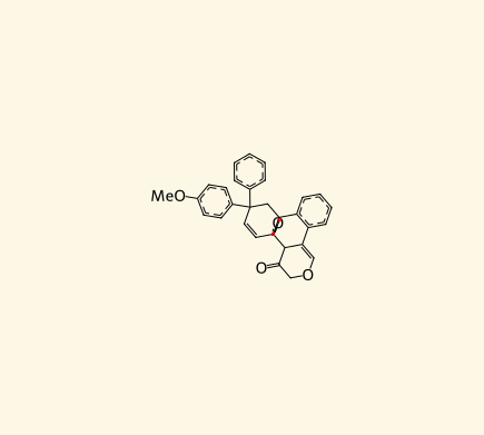 COc1ccc(C2(c3ccccc3)C=CC34C=CCOC3(C2)c2ccccc2C2=COCC(=O)C24)cc1